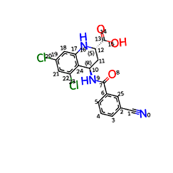 N#Cc1cccc(C(=O)N[C@@H]2C[C@@H](C(=O)O)Nc3cc(Cl)cc(Cl)c32)c1